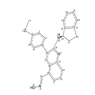 COc1ccc(-c2cc3c(C=NO)cccc3nc2N[C@@H]2CCc3ccccc32)cc1